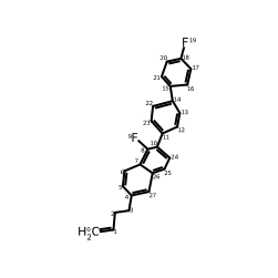 C=CCCc1ccc2c(F)c(-c3ccc(-c4ccc(F)cc4)cc3)ccc2c1